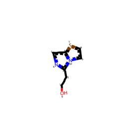 OCCc1ncc2sccn12